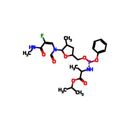 CNC(=O)/C(F)=C\N(C=O)C1OC(CO[P@@](NC(C)C(=O)OC(C)C)Oc2ccccc2)CC1C